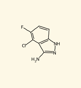 Nc1n[nH]c2ccc(F)c(Cl)c12